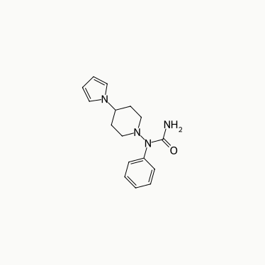 NC(=O)N(c1ccccc1)N1CCC(n2cccc2)CC1